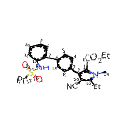 CCOC(=O)c1c(-c2ccc(-c3ccccc3NS(=O)(=O)C(C)C)cc2)c(C#N)c(CC)n1C